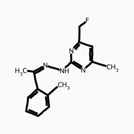 CC(=NNc1nc(C)cc(CF)n1)c1ccccc1C